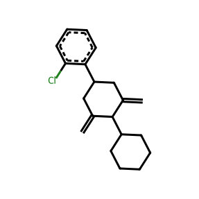 C=C1CC(c2ccccc2Cl)CC(=C)C1C1CCCCC1